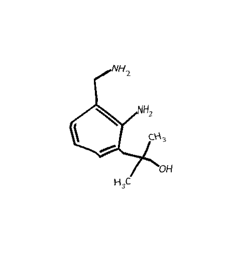 CC(C)(O)c1cccc(CN)c1N